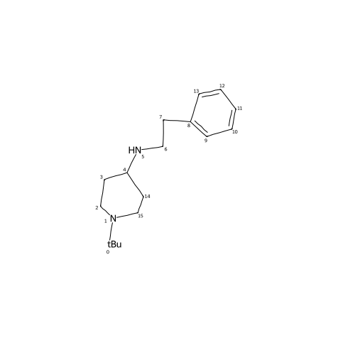 CC(C)(C)N1CCC(NCCc2ccccc2)CC1